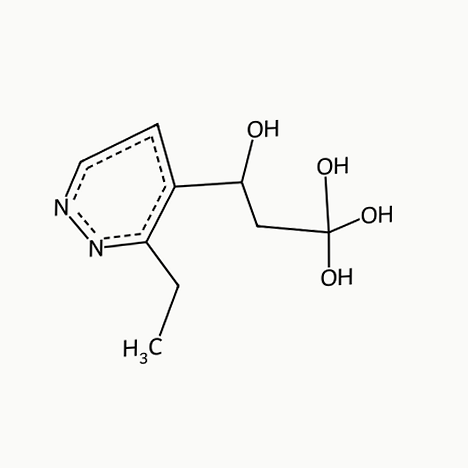 CCc1nnccc1C(O)CC(O)(O)O